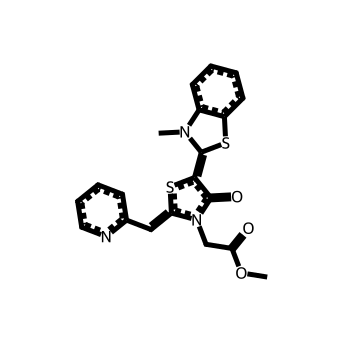 COC(=O)Cn1c(=O)/c(=C2\Sc3ccccc3N2C)s/c1=C\c1ccccn1